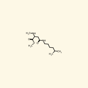 CNC(CC(=O)NCCCCC(C)C)C(=O)OC